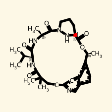 CC(C)[C@@H]1NC(=O)C(C)(C)CCc2cc3cc(ccc3cn2)[C@@H](C)OC(=O)[C@@H]2CCCN(N2)C(=O)[C@H](C)NC1=O